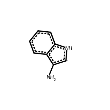 Nc1[c][nH]c2ccccc12